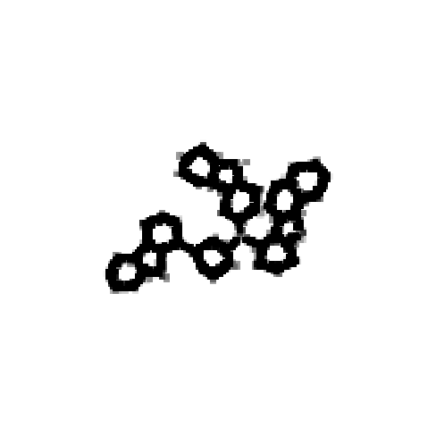 c1cc(-c2cccc3c2sc2ccccc23)cc(N(c2ccc3sc4ccccc4c3c2)c2cccc3oc4c5ccccc5ccc4c23)c1